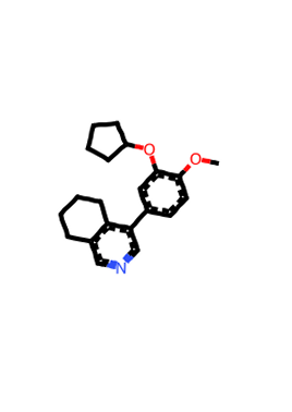 COc1ccc(-c2cncc3c2CCCC3)cc1OC1CCCC1